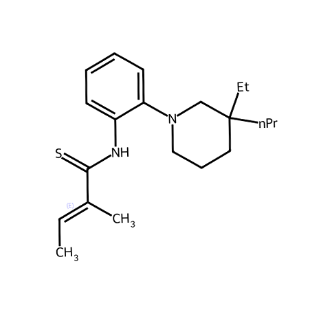 C/C=C(\C)C(=S)Nc1ccccc1N1CCCC(CC)(CCC)C1